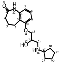 O=C1CCCc2c(cccc2OCC(O)CNC2CCCC2)N1